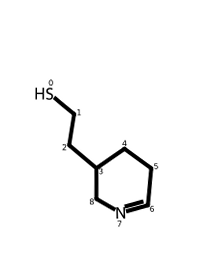 SCCC1CCC=NC1